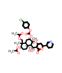 CC(=O)OCC1(C)C2C[C@H](OC(=O)Oc3ccc(Cl)cc3)[C@@]3(C)Oc4cc(-c5cccnc5)oc(=O)c4[C@H](O)C3[C@@]2(C)CC[C@@H]1OC(C)=O